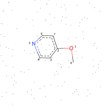 COc1[c][c]ncc1